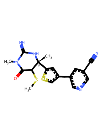 CSC1C(=O)N(C)C(=N)N[C@]1(C)c1cc(-c2cncc(C#N)c2)cs1